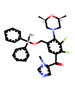 C[C@@H]1CN(c2c(CO[Si](c3ccccc3)(c3ccccc3)C(C)(C)C)cc(C(=O)c3cncn3C)c(F)c2F)C[C@H](C)O1